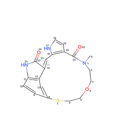 CN1CCOCCSc2ccc3c(c2)/C(=C/c2[nH]ccc2C1=O)C(=O)N3